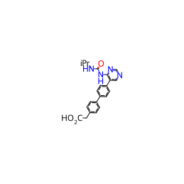 CC(C)NC(=O)Nc1ncncc1-c1ccc(-c2ccc(CC(=O)O)cc2)cc1